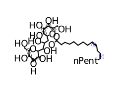 CCCCC/C=C\C/C=C\CCCCCCCC(=O)OC(C(O)C(O)C1O[C@H](CO)[C@H](O)[C@H](O)[C@H]1O)C1O[C@H](CO)[C@H](O)[C@H](O)[C@H]1O